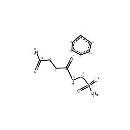 CS(=O)(=O)ONC(=O)CCC(N)=O.c1ccccc1